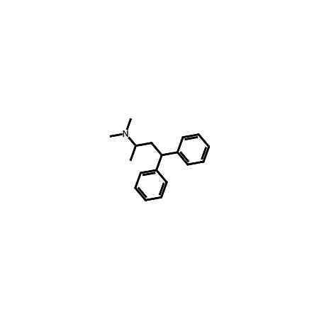 CC(CC(c1ccccc1)c1ccccc1)N(C)C